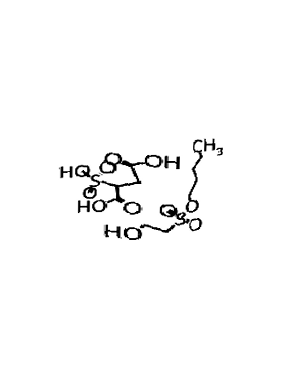 CCCCCOS(=O)(=O)CCO.O=C(O)CC(C(=O)O)S(=O)(=O)O